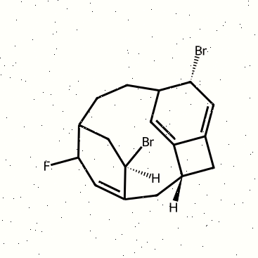 FC1C=C2C[C@H]3CC4=C[C@@H](Br)C(C=C43)CCC1C[C@H]2Br